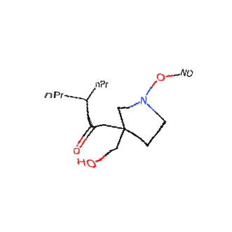 CCCC(CCC)C(=O)C1(CO)CCN(ON=O)C1